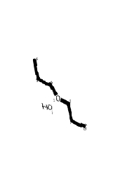 CCCOCCC.Cl